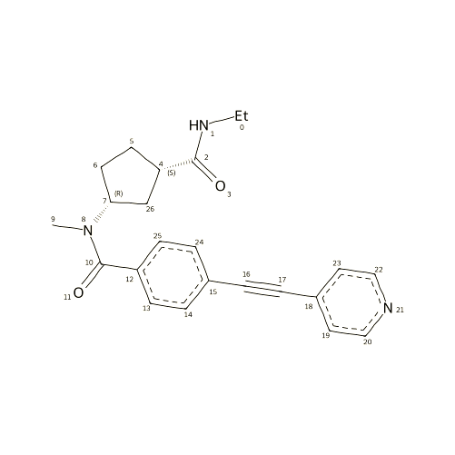 CCNC(=O)[C@H]1CC[C@@H](N(C)C(=O)c2ccc(C#Cc3ccncc3)cc2)C1